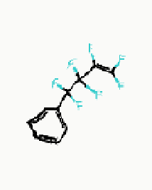 FC(F)=C(F)C(F)(F)C(F)(F)c1ccccc1